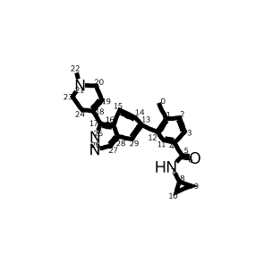 Cc1ccc(C(=O)NC2CC2)cc1-c1ccc2c(C3=CCN(C)CC3)nncc2c1